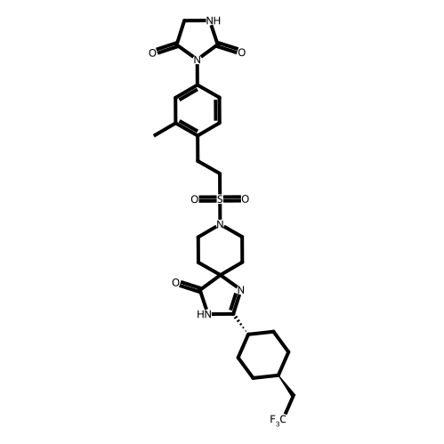 Cc1cc(N2C(=O)CNC2=O)ccc1CCS(=O)(=O)N1CCC2(CC1)N=C([C@H]1CC[C@H](CC(F)(F)F)CC1)NC2=O